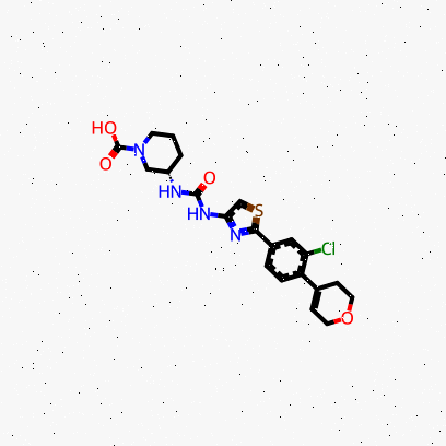 O=C(Nc1csc(-c2ccc(C3=CCOCC3)c(Cl)c2)n1)N[C@H]1CCCN(C(=O)O)C1